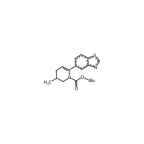 CC1CC=C(c2ccc3scnc3c2)N(C(=O)OC(C)(C)C)C1